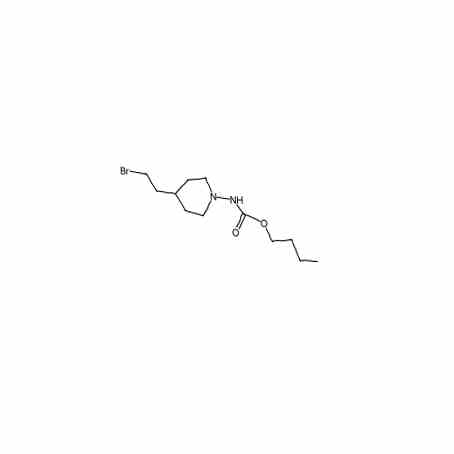 CCCCOC(=O)NN1CCC(CCBr)CC1